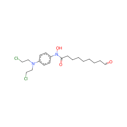 O=CCCCCCCCC(=O)N(O)c1ccc(N(CCCl)CCCl)cc1